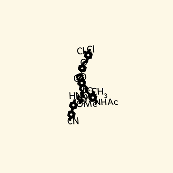 COC(=O)[C@H](Cc1ccc(-c2ccc(C#N)cc2)cc1)NC(=O)C1Cc2cc3c(cc2CN1S(=O)(=O)c1ccc(NC(C)=O)cc1C)O[C@@H](c1ccc(OCc2ccc(Cl)c(Cl)c2)cc1)CO3